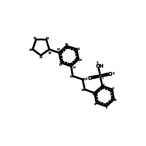 O=S(=O)(O)c1ccccc1CCCc1cccc(C2CCCC2)c1